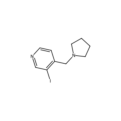 Ic1cnccc1CN1CCCC1